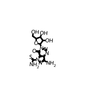 NC(=S)n1nc(N)c2nnn(C3OC(CO)C(O)C3O)c(=O)c21